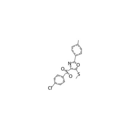 CSc1oc(-c2ccc(C)cc2)nc1S(=O)(=O)c1ccc(Cl)cc1